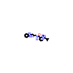 O=C(NCCCc1nc2ccccc2[nH]1)c1cccn2c(C3CC3)nnc12